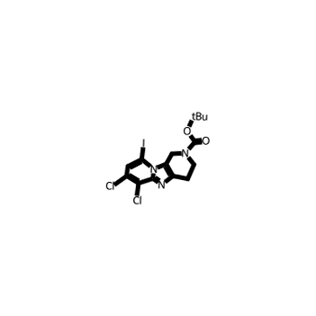 CC(C)(C)OC(=O)N1CCc2nc3c(Cl)c(Cl)cc(I)n3c2C1